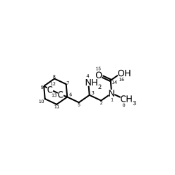 CN(CC(N)CC12CCC(CC1)CC2)C(=O)O